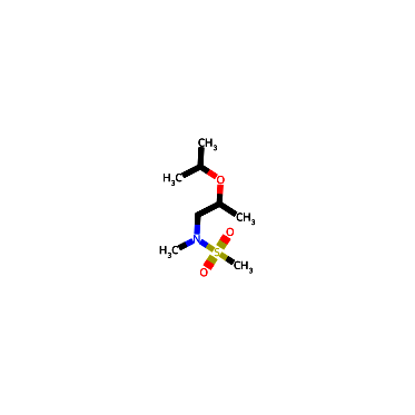 CC(C)OC(C)CN(C)S(C)(=O)=O